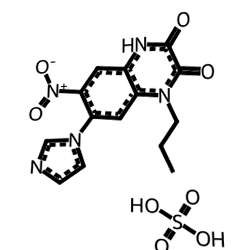 CCCn1c(=O)c(=O)[nH]c2cc([N+](=O)[O-])c(-n3ccnc3)cc21.O=S(=O)(O)O